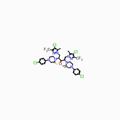 Cc1c(Cl)c(C(F)(F)F)nn1CC(C(=O)C(Cn1nc(C(F)(F)F)c(Cl)c1C)N1CCN(c2ccc(Cl)cc2)C[C@H]1C)N1CCN(c2ccc(Cl)cc2)C[C@H]1C